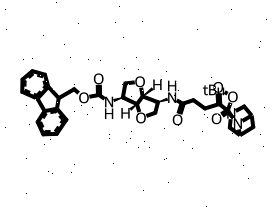 CC(C)(C)OC(=O)N1C2CC1CN(C(=O)CCC(=O)N[C@H]1CO[C@H]3[C@@H]1OC[C@@H]3NC(=O)OCC1c3ccccc3-c3ccccc31)C2